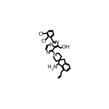 C=CCc1cccc2c1C(N)C1(CCN(c3nccn4c(-c5cccc(Cl)c5Cl)nc(CO)c34)CC1)C2